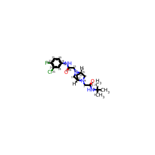 CC(C)(C)NC(=O)CN1C[C@@H]2C[C@H]1CN2CC(=O)Nc1ccc(F)c(Cl)c1